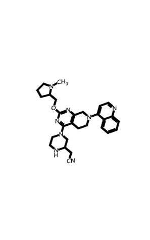 CN1CCCC1COc1nc2c(c(N3CCNC(CC#N)C3)n1)CCN(c1ccnc3ccccc13)C2